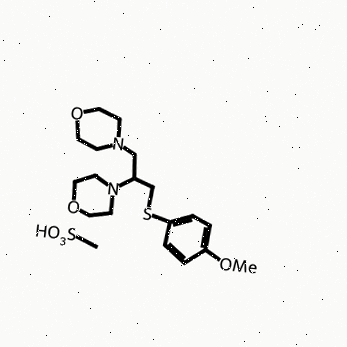 COc1ccc(SCC(CN2CCOCC2)N2CCOCC2)cc1.CS(=O)(=O)O